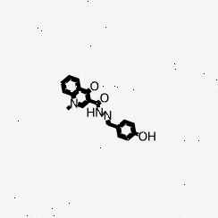 Cn1cc(C(=O)NN=Cc2ccc(O)cc2)c(=O)c2ccccc21